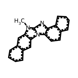 Cn1c2cc3ccccc3cc2n2c3ccc4ccccc4c3nc12